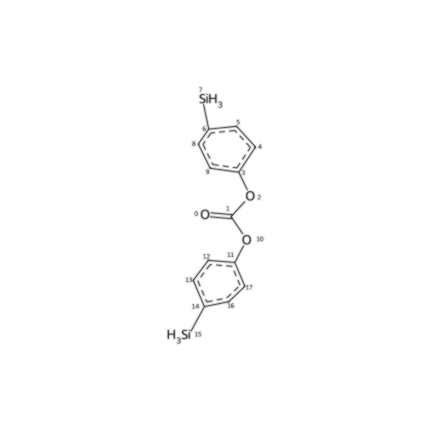 O=C(Oc1ccc([SiH3])cc1)Oc1ccc([SiH3])cc1